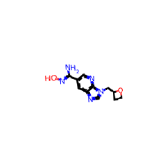 NC(=NO)c1cnc2c(c1)ncn2CC1CCO1